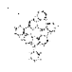 c1ccc(-c2cccc(-n3c4c(-c5ccccc5)cccc4c4ccc5c(c6ccccc6n5-c5ccccc5)c43)c2)cc1